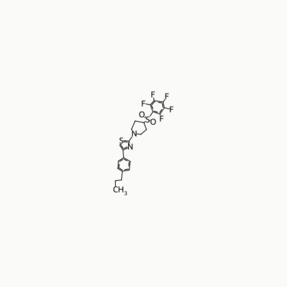 CCCc1ccc(-c2csc(N3CCC(S(=O)(=O)c4c(F)c(F)c(F)c(F)c4F)CC3)n2)cc1